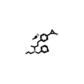 CC#N.CCCN(Cc1ccccc1)C(C)CCc1ccc(C2CC2F)cc1